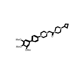 COc1cc(-c2ccc(N3CCN(CC(=O)N4CCN(C5CCC5)CC4)CC3)cc2)cc(OC)c1OC